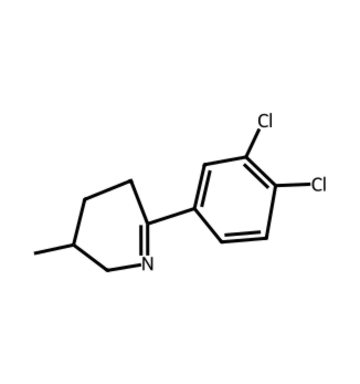 CC1CCC(c2ccc(Cl)c(Cl)c2)=NC1